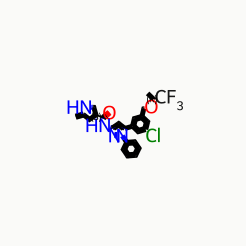 C=C1C[C@H](C(=O)Nc2cc(-c3cc(Cl)cc(CO[C@H](C)C(F)(F)F)c3)n(-c3ccccc3)n2)CN1